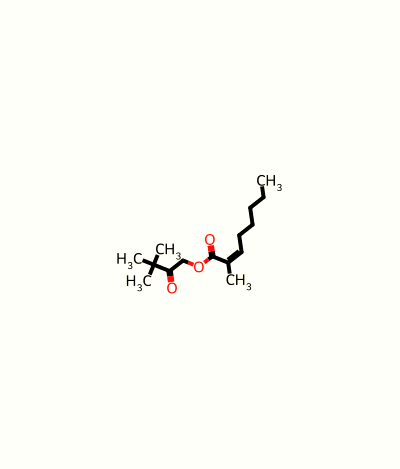 CCCCCC=C(C)C(=O)OCC(=O)C(C)(C)C